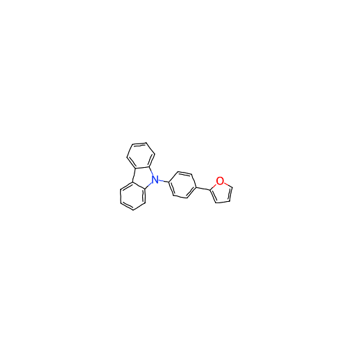 c1coc(-c2ccc(-n3c4ccccc4c4ccccc43)cc2)c1